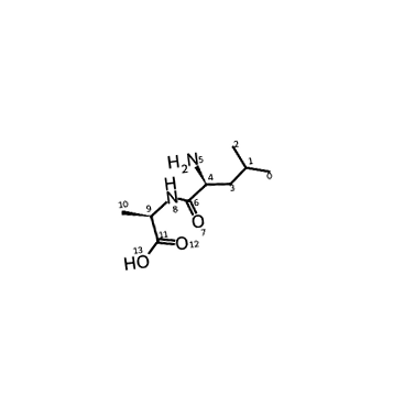 CC(C)C[C@H](N)C(=O)N[C@H](C)C(=O)O